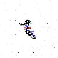 COc1cccc(Cl)c1CNC(=O)C(=O)N1CCc2ccc(Nc3nccs3)nc2C1